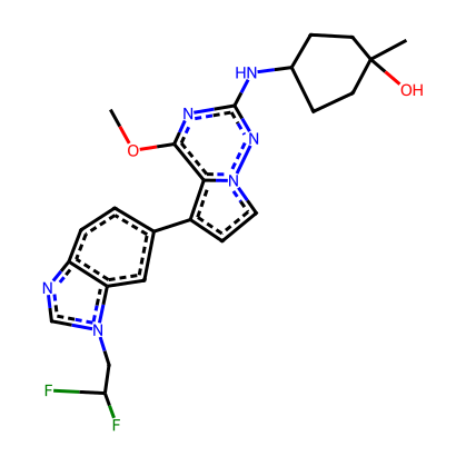 COc1nc(NC2CCC(C)(O)CC2)nn2ccc(-c3ccc4ncn(CC(F)F)c4c3)c12